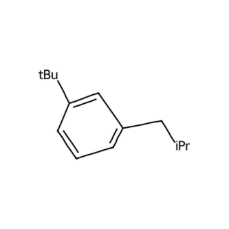 [CH2]C(C)Cc1cccc(C(C)(C)C)c1